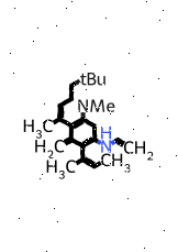 C=CNC1=C(/C(C)=C\C)C(=C)C(/C(C)=C\CCC(C)(C)C)=C(NC)C1